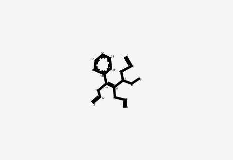 C=CC[C](CC)C(CC=C)=C(CC=C)c1ccccc1